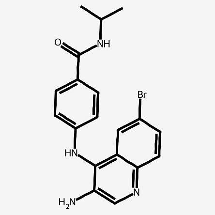 CC(C)NC(=O)c1ccc(Nc2c(N)cnc3ccc(Br)cc23)cc1